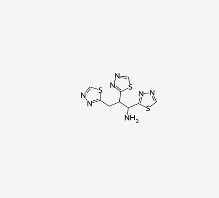 NC(c1nncs1)C(Cc1nncs1)c1nncs1